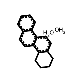 O.O.c1ccc2c(c1)ccc1c3c(ccc12)CCCC3